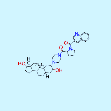 C[C@]12CCC3C(CC[C@H]4C[C@H](O)[C@@H](N5CCN(C(=O)[C@@H]6CCCN6C(=O)c6cnc7ccccc7c6)CC5)C[C@]34C)C1CC[C@@H]2O